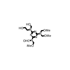 COCN(C=O)c1nc(N(CO)CCO)nc(N(COC)COC)n1